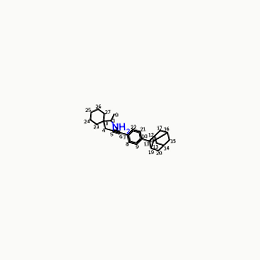 CC(N)C1(CC#Cc2ccc(C3C4CC5CC(C4)CC3C5)cc2)CCCCC1